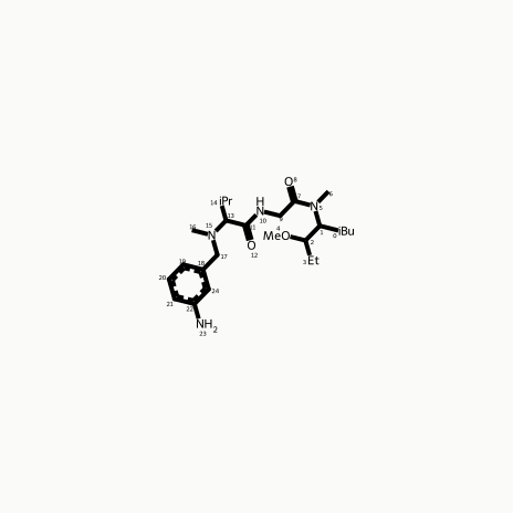 CCC(C)C(C(CC)OC)N(C)C(=O)CNC(=O)C(C(C)C)N(C)Cc1cccc(N)c1